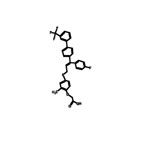 Cc1cc(SCC=C(c2ccc(F)cc2)c2ccc(-c3cccc(C(F)(F)F)c3)cc2)ccc1OCC(=O)O